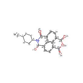 CC1CCC(N2C(=O)c3ccc4c5c(ccc(c35)C2=O)C(=O)OC4=O)CC1